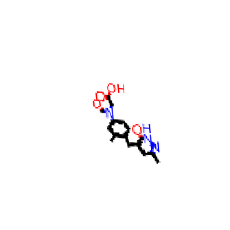 Cc1cc(Cc2ccc(N(C=O)CC(=O)O)cc2C)c(=O)[nH]n1